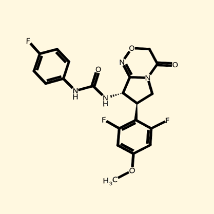 COc1cc(F)c([C@@H]2CN3C(=O)CON=C3[C@H]2NC(=O)Nc2ccc(F)cc2)c(F)c1